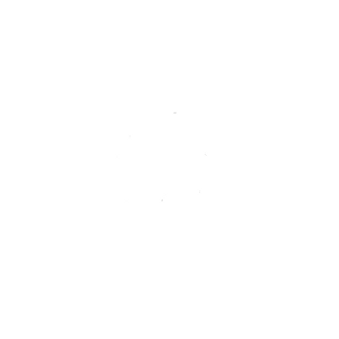 CC1=[C]([Os])CC=C1.Cl.Cl